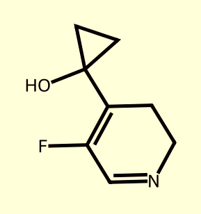 OC1(C2=C(F)C=NCC2)CC1